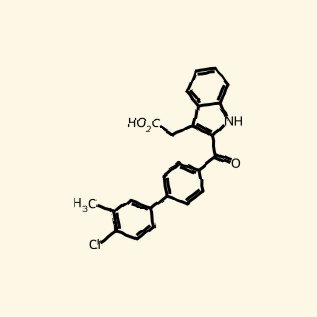 Cc1cc(-c2ccc(C(=O)c3[nH]c4ccccc4c3CC(=O)O)cc2)ccc1Cl